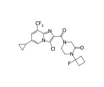 O=C(c1nc2c(C(F)(F)F)cc(C3CC3)cn2c1Cl)N1CCN(C2(F)CCC2)C(=O)C1